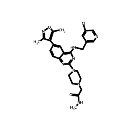 CNC(=O)CN1CCN(c2nc(NCc3cncc(Cl)c3)c3cc(-c4c(C)noc4C)ccc3n2)CC1